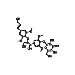 COc1cc([C@@H](O)[C@@H](CO)Oc2c(OC)cc(/C=C/CO)cc2OC)cc(OC)c1O[C@@H]1O[C@H](CO)[C@@H](O)[C@H](O)[C@H]1O